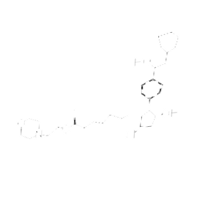 O=C(CCCCCC[C@@H]1[C@@H](c2ccc(C(O)CC3CCCCC3)cc2)[C@H](O)C[C@H]1Cl)OCCN1CCOCC1